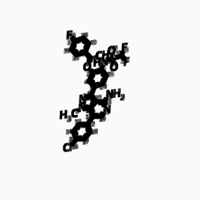 C[C@H](Oc1cc(-c2nn(C)c3c(-c4ccc(Cl)cc4)cnc(N)c23)ccc1NS(=O)(=O)C(F)F)c1ccc(F)cc1